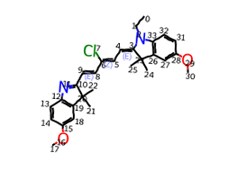 CCN1/C(=C/C=C(Cl)/C=C/C2=Nc3ccc(OC)cc3C2(C)C)C(C)(C)c2cc(OC)ccc21